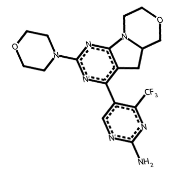 Nc1ncc(-c2nc(N3CCOCC3)nc3c2CC2COCCN32)c(C(F)(F)F)n1